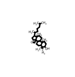 CC(C)CCCC(C)C1CCC2(C=O)C3=C(CCC12C)C1(C)CCC(O)C(C)(C)C1CC3